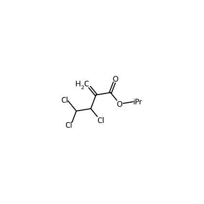 C=C(C(=O)OC(C)C)C(Cl)C(Cl)Cl